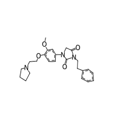 COc1cc(N2CC(=O)N(CCc3ccccc3)C2=O)ccc1OCCN1CCCC1